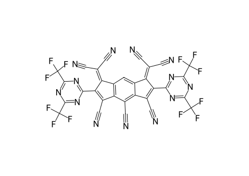 N#CC(C#N)=C1C(c2nc(C(F)(F)F)nc(C(F)(F)F)n2)=C(C#N)c2c1cc1c(c2C#N)C(C#N)=C(c2nc(C(F)(F)F)nc(C(F)(F)F)n2)C1=C(C#N)C#N